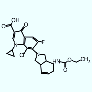 CCOC(=O)NC1CC=CC2CN(c3c(F)cc4c(=O)c(C(=O)O)cn(C5CC5)c4c3Cl)CC21